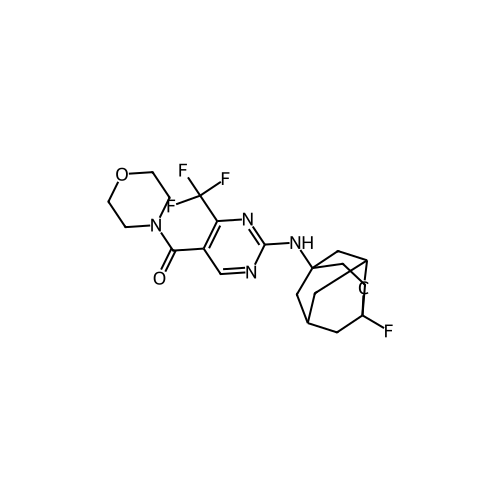 O=C(c1cnc(NC23CCC4(F)CC(CC(C4)C2)C3)nc1C(F)(F)F)N1CCOCC1